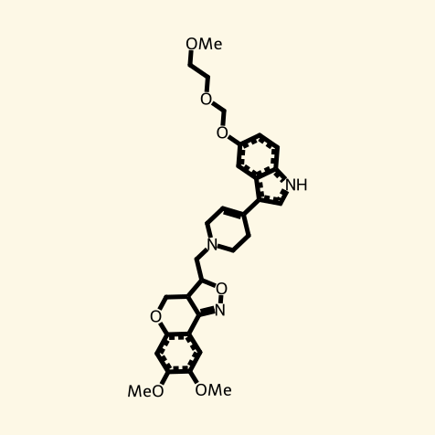 COCCOCOc1ccc2[nH]cc(C3=CCN(CC4ON=C5c6cc(OC)c(OC)cc6OCC54)CC3)c2c1